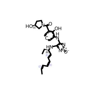 C\C=C/C=C\C=C\[C@@H](CC)Nc1n[s+]([O-])nc1Nc1cccc(C(=O)N2CC[C@H](O)C2)c1O